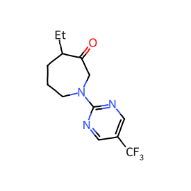 CCC1CCCN(c2ncc(C(F)(F)F)cn2)CC1=O